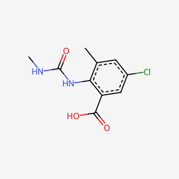 CNC(=O)Nc1c(C)cc(Cl)cc1C(=O)O